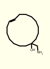 NCC1(O)CCCCCC/C=C/CCCCCCC1